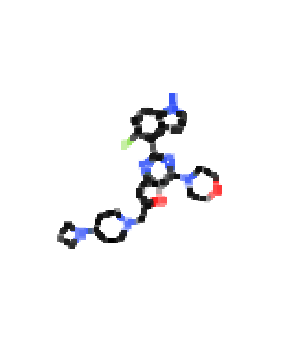 Fc1ccc2[nH]ccc2c1-c1nc(N2CCOCC2)c2oc(CN3CCC(N4CCC4)CC3)cc2n1